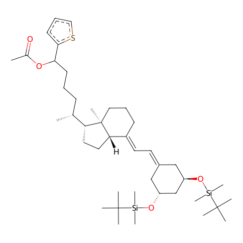 CC(=O)OC(CCC[C@@H](C)[C@H]1CC[C@H]2/C(=C/C=C3C[C@@H](O[Si](C)(C)C(C)(C)C)C[C@H](O[Si](C)(C)C(C)(C)C)C3)CCC[C@]12C)c1cccs1